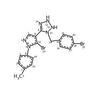 Cc1ccc(-n2ncc(C3=NNNN3Cc3ccc(Br)cc3)c2Br)cc1